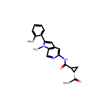 COC(=O)[C@H]1CC1C(=O)Nc1cc2cc(-c3ccccc3OC)n(C)c2cn1